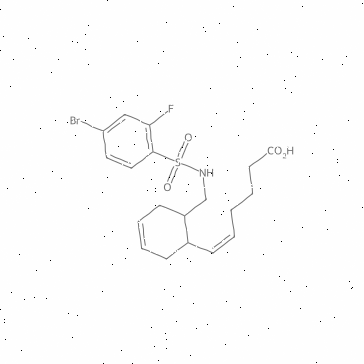 O=C(O)CCC/C=C\C1CC=CCC1CNS(=O)(=O)c1ccc(Br)cc1F